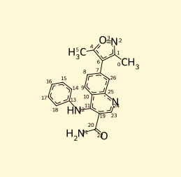 Cc1noc(C)c1-c1ccc2c(Nc3ccccc3)c(C(N)=O)cnc2c1